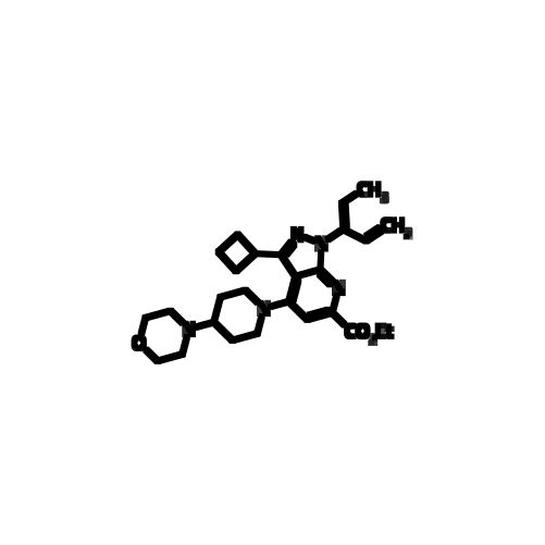 C=C/C(=C\C)n1nc(C2CCC2)c2c(N3CCC(N4CCOCC4)CC3)cc(C(=O)OCC)nc21